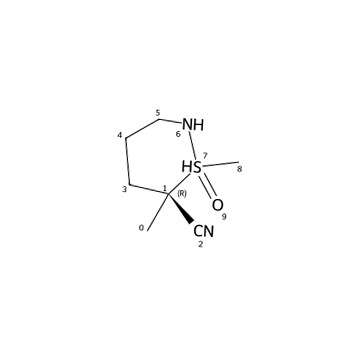 C[C@]1(C#N)CCCN[SH]1(C)=O